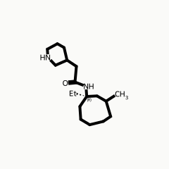 CC[C@@]1(NC(=O)CC2CCCNC2)CCCCCC(C)C1